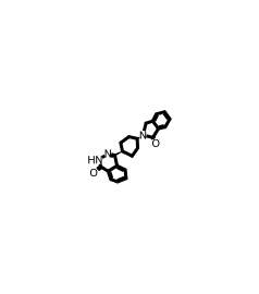 O=C1c2ccccc2CN1[C@H]1CC[C@H](c2n[nH]c(=O)c3ccccc32)CC1